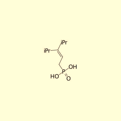 CC(C)C(=CCP(=O)(O)O)C(C)C